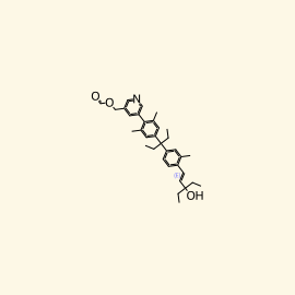 CCC(O)(/C=C/c1ccc(C(CC)(CC)c2cc(C)c(-c3cncc(COC=O)c3)c(C)c2)cc1C)CC